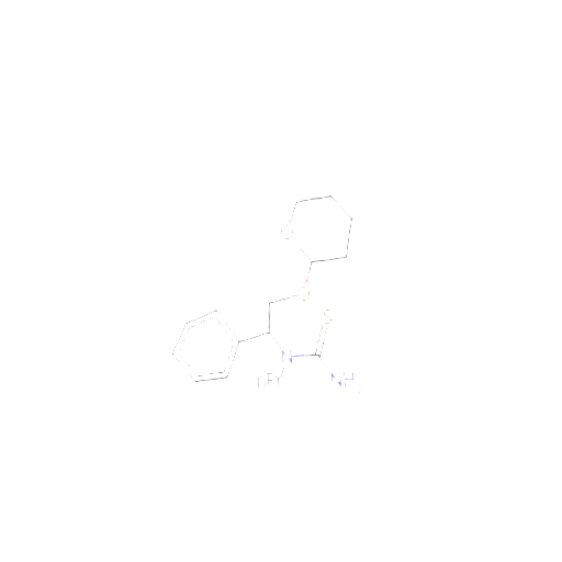 CCCN(C(N)=S)C(COC1CCCCO1)c1ccccc1